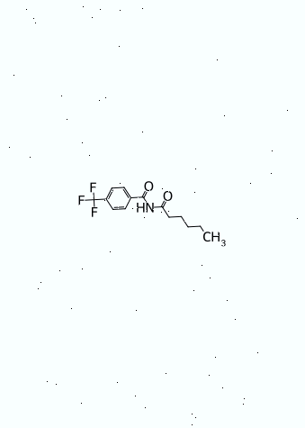 CCCCCC(=O)NC(=O)c1ccc(C(F)(F)F)cc1